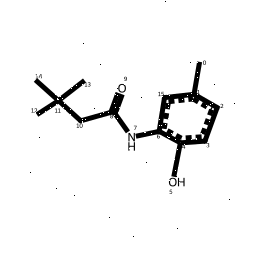 Cc1ccc(O)c(NC(=O)CC(C)(C)C)c1